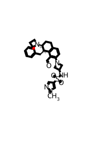 Cn1cc(S(=O)(=O)NC2CN(c3ccc4c(c3C=O)[C@@H](Cc3ccccc3)[C@@H](N3CCC3)CC4)C2)cn1